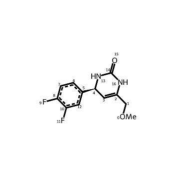 COCC1=C[C@@H](c2ccc(F)c(F)c2)NC(=O)N1